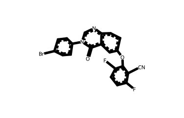 N#Cc1c(F)ccc(F)c1Oc1ccc2ncn(-c3ccc(Br)cc3)c(=O)c2c1